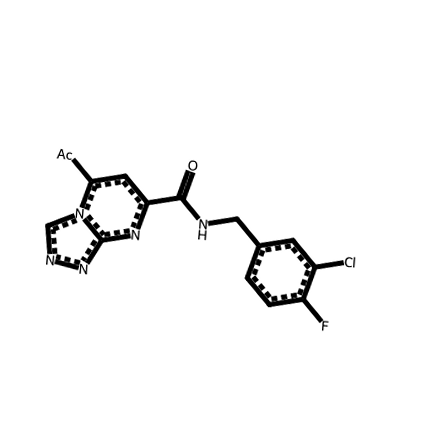 CC(=O)c1cc(C(=O)NCc2ccc(F)c(Cl)c2)nc2nncn12